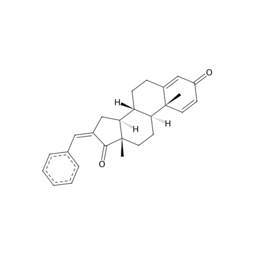 C[C@]12C=CC(=O)C=C1CC[C@@H]1[C@@H]2CC[C@]2(C)C(=O)/C(=C\c3ccccc3)C[C@@H]12